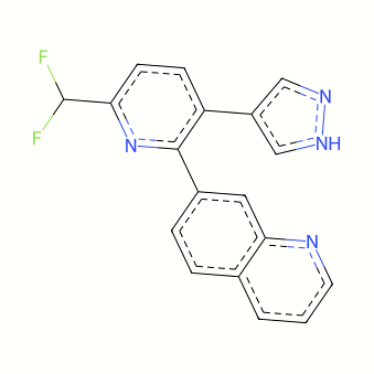 FC(F)c1ccc(-c2cn[nH]c2)c(-c2ccc3cccnc3c2)n1